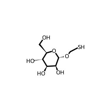 OC[C@H]1O[C@H](OCS)[C@@H](O)[C@@H](O)[C@@H]1O